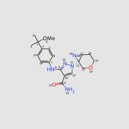 COC(C)(C)c1ccc(Nc2nn([C@@]34COCCC3=N4)cc2C(N)=O)cc1